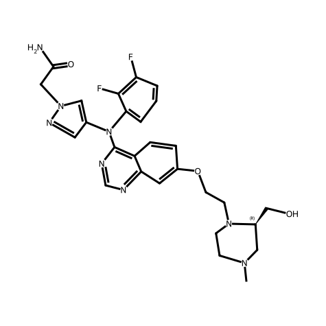 CN1CCN(CCOc2ccc3c(N(c4cnn(CC(N)=O)c4)c4cccc(F)c4F)ncnc3c2)[C@@H](CO)C1